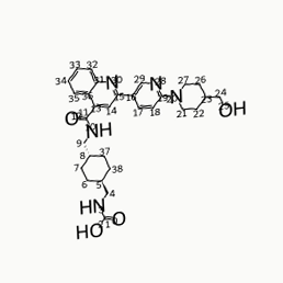 O=C(O)NC[C@H]1CC[C@H](CNC(=O)c2cc(-c3ccc(N4CCC(CO)CC4)nc3)nc3ccccc23)CC1